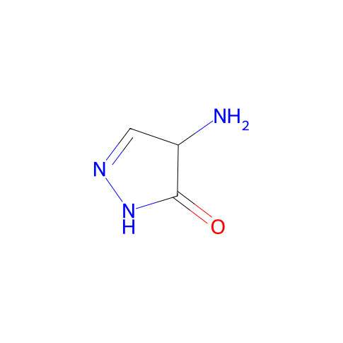 NC1C=NNC1=O